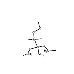 COO[Si](C)(C)[Si]([SiH3])(O[SiH2]C)O[SiH2]C